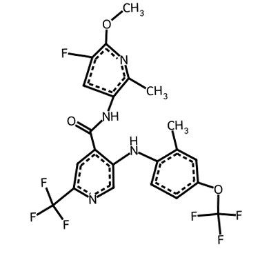 COc1nc(C)c(NC(=O)c2cc(C(F)(F)F)ncc2Nc2ccc(OC(F)(F)F)cc2C)cc1F